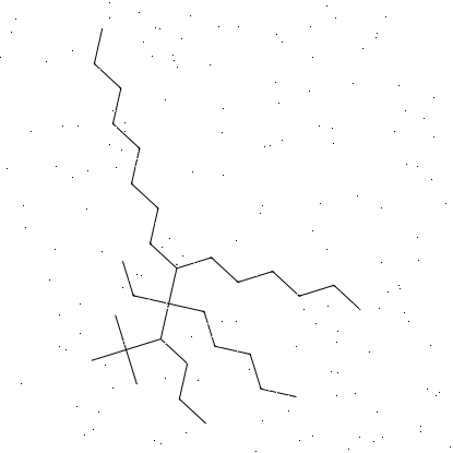 CCCCCCCC[C](CCCCCC)C(CC)(CCCCC)C(CCC)C(C)(C)C